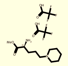 COC(=O)[C@@H](N)CCCN1CCCCC1.O=C(O)C(F)(F)F.O=C(O)C(F)(F)F